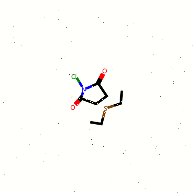 CCSCC.O=C1CCC(=O)N1Cl